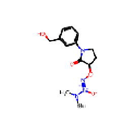 CN(/[N+]([O-])=N/OC1CCN(c2cccc(CO)c2)C1=O)C(C)(C)C